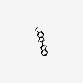 COc1ccc2nc(-c3cc4ccccc4o3)oc2c1